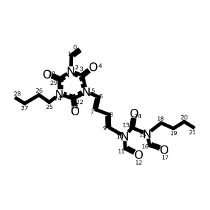 C=Cn1c(=O)n(/C=C/C=C/N(C=O)C(=O)N(C=O)CCCC)c(=O)n(CCCC)c1=O